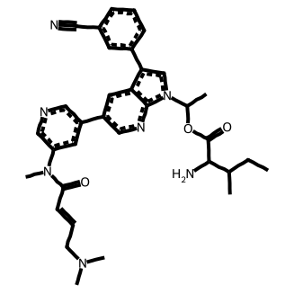 CCC(C)C(N)C(=O)OC(C)n1cc(-c2cccc(C#N)c2)c2cc(-c3cncc(N(C)C(=O)/C=C/CN(C)C)c3)cnc21